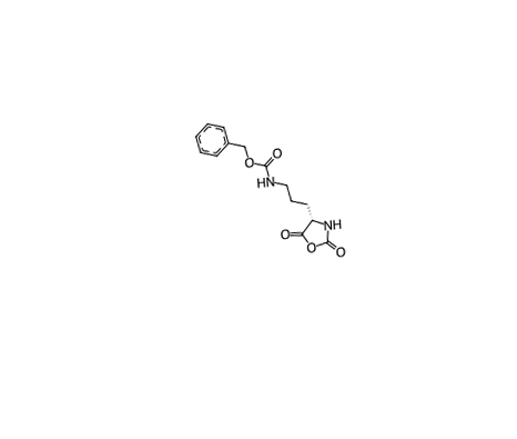 O=C(NCCC[C@@H]1NC(=O)OC1=O)OCc1ccccc1